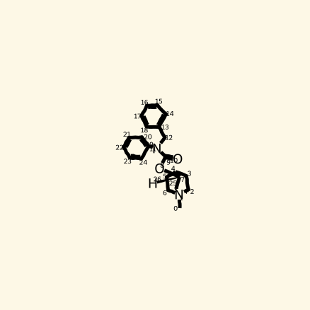 C[N+]12CCC(CC1)[C@@H](OC(=O)N(Cc1ccccc1)c1ccccc1)C2